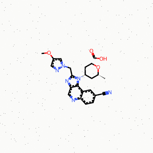 COc1cnn(Cc2nc3cnc4ccc(C#N)cc4c3n2[C@@H]2CCO[C@H](C)C2)c1.O=CO